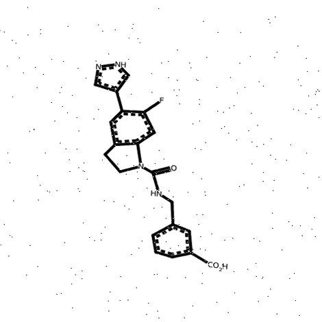 O=C(O)c1cccc(CNC(=O)N2CCc3cc(-c4cn[nH]c4)c(F)cc32)c1